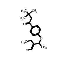 CC/C(=C\F)C(C)Oc1ccc(C(=O)CC(C)(C)C)cc1